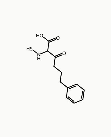 O=C(O)C(NS)C(=O)CCCc1ccccc1